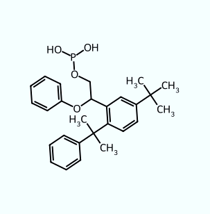 CC(C)(C)c1ccc(C(C)(C)c2ccccc2)c(C(COP(O)O)Oc2ccccc2)c1